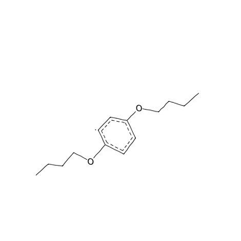 CCCCOc1[c]cc(OCCCC)cc1